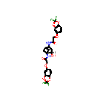 O=C(COc1ccc2c(c1)OC(F)(F)O2)NC1=C2CC(NC(=O)COc3ccc4c(c3)OC(F)(F)O4)(C2)[C@@H](O)C1